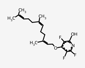 CC(C)=CCCC(C)=CCCC(C)=CCOc1c(F)c(O)nc(F)c1F